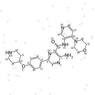 Nc1ncc(-c2ccc(OC3CCNCC3)cc2)nc1C(=O)Nc1cnccc1N1CCOCC1